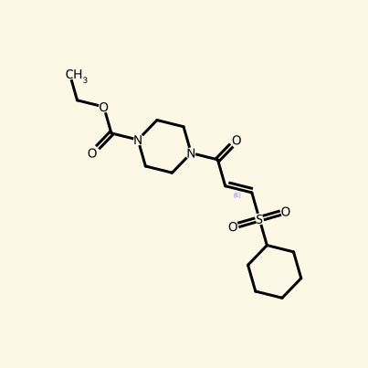 CCOC(=O)N1CCN(C(=O)/C=C/S(=O)(=O)C2CCCCC2)CC1